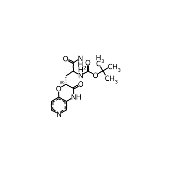 CC(C)(C)OC(=O)NC(C[C@H]1Oc2ccncc2NC1=O)C(N)=O